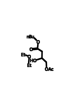 CCCCOC(=O)CC(O)COC(C)=O.CCOCC